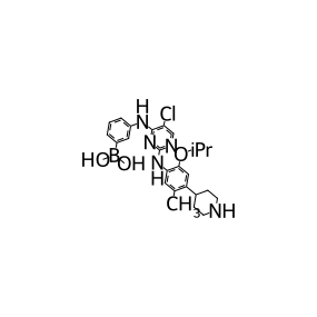 Cc1cc(Nc2ncc(Cl)c(Nc3cccc(B(O)O)c3)n2)c(OC(C)C)cc1C1CCNCC1